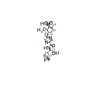 Cc1c(Oc2cnc(C(=O)NC(CO)CCC(F)(F)F)cn2)ccc2c1B(O)OC2